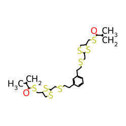 C=C(C)C(=O)SCC1CSC(CSCCc2cccc(CCSCC3SCC(CSC(=O)C(=C)C)S3)c2)S1